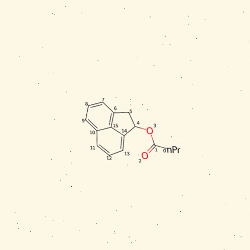 CCCC(=O)OC1Cc2cccc3cccc1c23